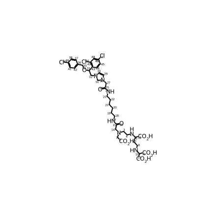 O=C(O)CN(CCNC(CCNC(C(=O)O)C(=O)O)C(=O)O)CC(=O)NCCCCCCNC(=O)CN1C=CN(CC(OCc2ccc(Cl)cc2)c2ccc(Cl)cc2Cl)C1